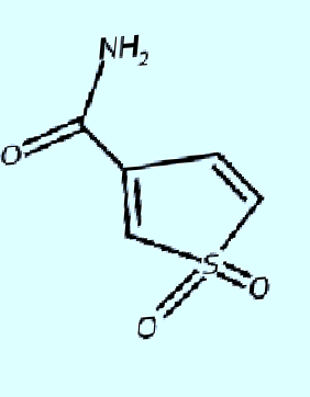 NC(=O)C1=CS(=O)(=O)C=C1